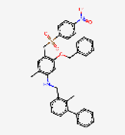 Cc1cc(CS(=O)(=O)c2ccc([N+](=O)[O-])cc2)c(OCc2ccccc2)cc1NCc1cccc(-c2ccccc2)c1C